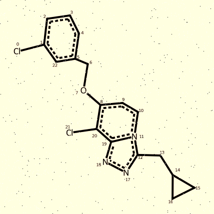 Clc1cccc(COc2ccn3c(CC4CC4)nnc3c2Cl)c1